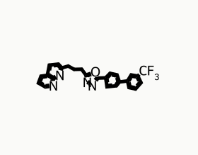 FC(F)(F)c1cccc(-c2ccc(-c3nnc(CCCc4ccc5cccnc5n4)o3)cc2)c1